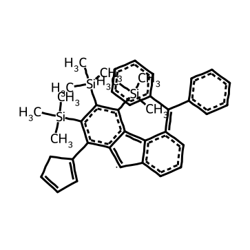 C[Si](C)(C)c1c([Si](C)(C)C)c([Si](C)(C)C)c2c(c1C1=CC=CC1)=[C]c1cccc(=C(c3ccccc3)c3ccccc3)c1=2